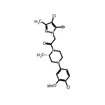 COc1cc(N2CCN(C(=O)Cn3nc(C)c(Cl)c3Br)[C@@H](C)C2)ccc1Cl